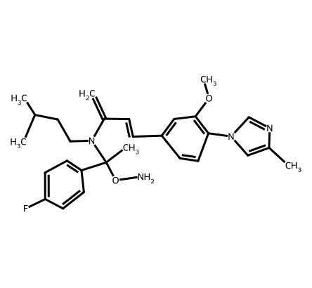 C=C(/C=C/c1ccc(-n2cnc(C)c2)c(OC)c1)N(CCC(C)C)C(C)(ON)c1ccc(F)cc1